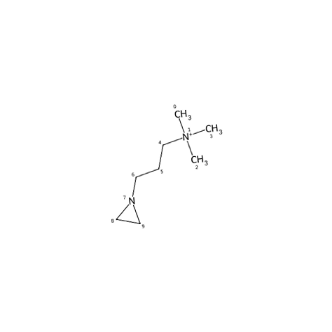 C[N+](C)(C)CCCN1CC1